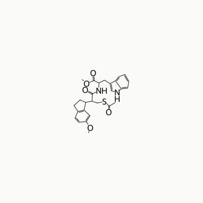 COC(=O)C(Cc1c[nH]c2ccccc12)NC(=O)C(CSC(C)=O)C1CCc2ccc(OC)cc21